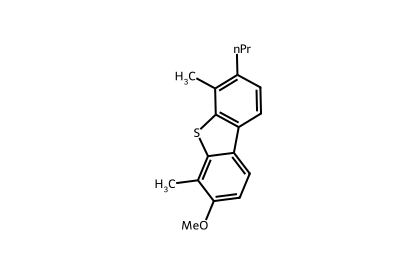 CCCc1ccc2c(sc3c(C)c(OC)ccc32)c1C